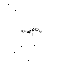 O=C(NC1CC(=O)N(c2ccc(CN3CCCC3)cc2)C1)c1nnc(CCc2ccc(Cl)cc2)s1